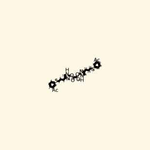 CC(=O)c1cccc(SCCCc2c[nH]c(OC(=O)C(=O)Oc3nc(CCCSc4cccc(C(C)=O)c4)c[nH]3)n2)c1